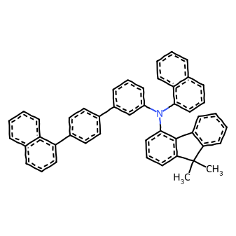 CC1(C)c2ccccc2-c2c(N(c3cccc(-c4ccc(-c5cccc6ccccc56)cc4)c3)c3cccc4ccccc34)cccc21